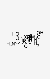 NCCCCC(N)C(=O)C1CCN(C(=O)C(N)CC(=O)O)C1(C(=O)O)C(=O)C(N)CCC(=O)O